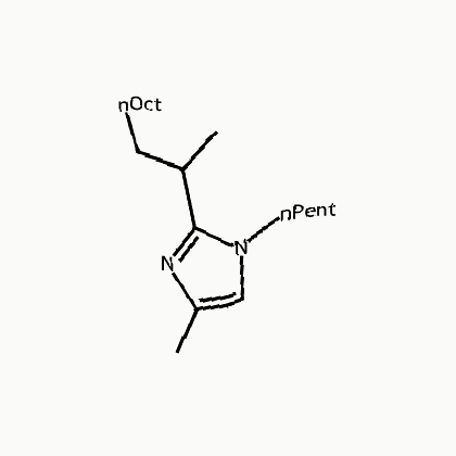 CCCCCCCCCC(C)c1nc(C)cn1CCCCC